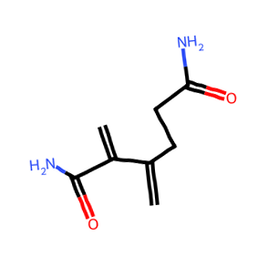 C=C(CCC(N)=O)C(=C)C(N)=O